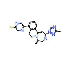 C=C1CN=C(n2cnc(C)n2)C=C2c3cccc(-c4cnc(F)cn4)c3CCN12